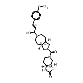 O=C1N[C@@H]2CCN(C(=O)N3C[C@H]4CCN(C(O)/C=C/c5ccc(OC(F)(F)F)cc5)CC[C@H]4C3)C[C@H]2O1